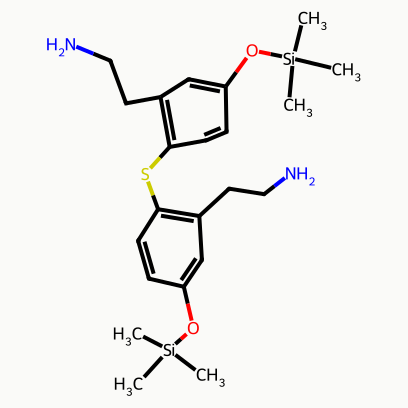 C[Si](C)(C)Oc1ccc(Sc2ccc(O[Si](C)(C)C)cc2CCN)c(CCN)c1